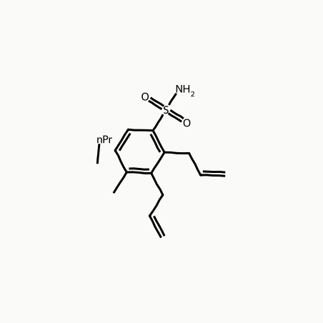 C=CCc1c(C)ccc(S(N)(=O)=O)c1CC=C.CCCC